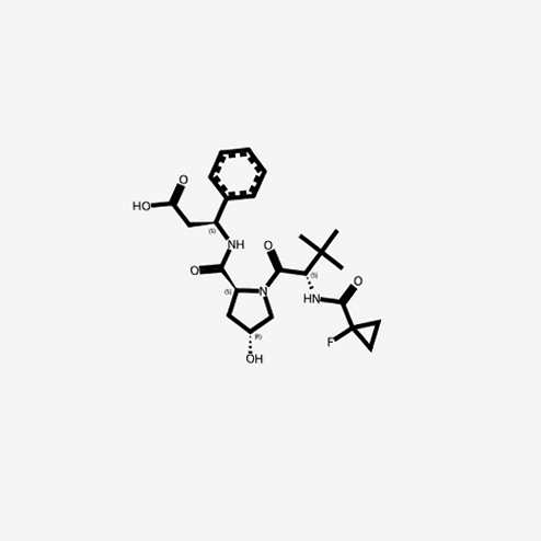 CC(C)(C)[C@H](NC(=O)C1(F)CC1)C(=O)N1C[C@H](O)C[C@H]1C(=O)N[C@@H](CC(=O)O)c1ccccc1